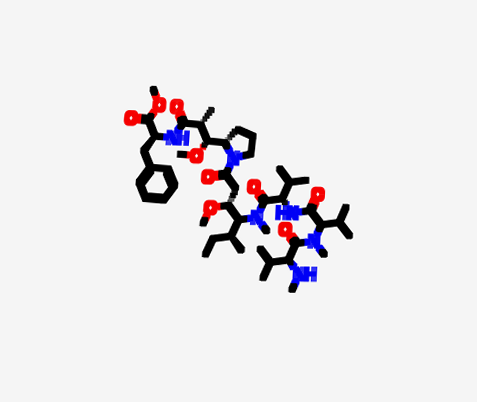 CC[C@H](C)C([C@@H](CC(=O)N1CCC[C@H]1[C@H](OC)[C@@H](C)C(=O)N[C@@H](Cc1ccccc1)C(=O)OC)OC)N(C)C(=O)[C@@H](NC(=O)C(C(C)C)N(C)C(=O)[C@@H](NC)C(C)C)C(C)C